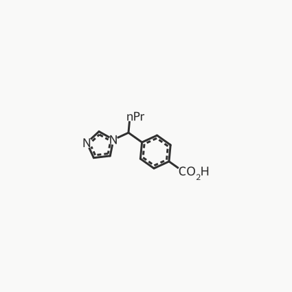 CCCC(c1ccc(C(=O)O)cc1)n1ccnc1